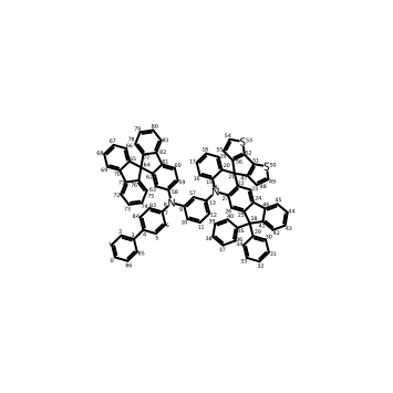 c1ccc(-c2ccc(N(c3cccc(N4c5ccccc5C5(c6cc7c(cc64)C(c4ccccc4)(c4ccccc4)c4ccccc4-7)c4ccsc4-c4sccc45)c3)c3ccc4c(c3)C3(c5ccccc5-c5ccccc53)c3ccccc3-4)cc2)cc1